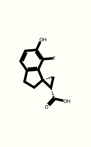 O=C(O)[C@H]1C[C@@]12CCc1ccc(O)c(F)c12